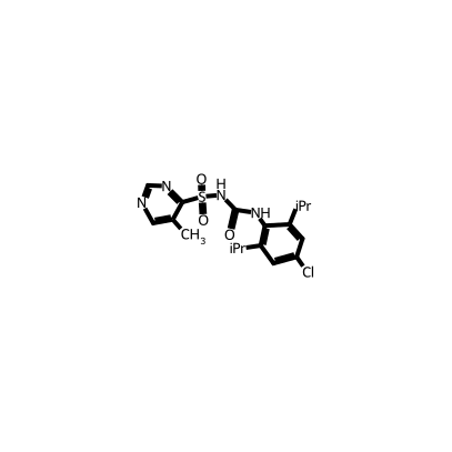 Cc1cncnc1S(=O)(=O)NC(=O)Nc1c(C(C)C)cc(Cl)cc1C(C)C